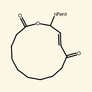 CCCCCC1/C=C/C(=O)CCCCCCCCC(=O)O1